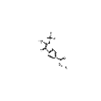 COC(=O)c1ccc(C(=O)N(C)CC(F)(F)F)nc1